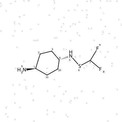 N[C@H]1CC[C@H](NSC(F)F)CC1